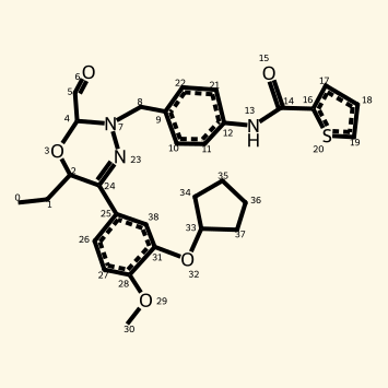 CCC1OC(C=O)N(Cc2ccc(NC(=O)c3cccs3)cc2)N=C1c1ccc(OC)c(OC2CCCC2)c1